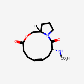 O=C(O)N[C@@H]1CC=CCCC(=O)OC[C@@H]2CCCN2C1=O